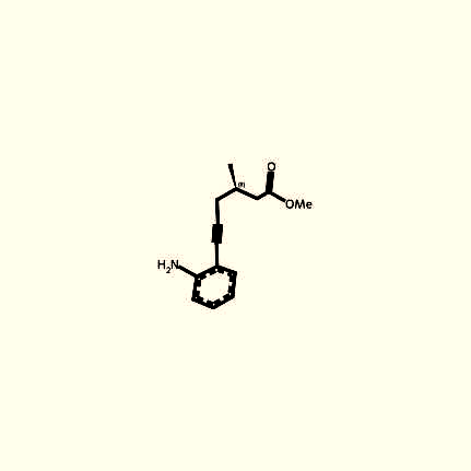 COC(=O)C[C@H](C)CC#Cc1ccccc1N